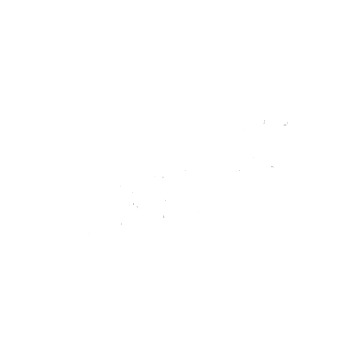 O=C(O)N(CCCO)Cc1ccc(OCc2ccccc2)cc1